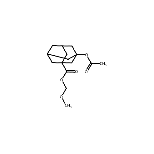 COCOC(=O)C12CC3CC(CC(OC(C)=O)(C3)C1)C2